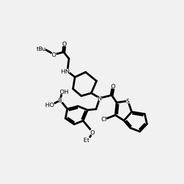 CCOc1ccc(B(O)O)cc1CN(C(=O)c1sc2ccccc2c1Cl)C1CCC(NCC(=O)OC(C)(C)C)CC1